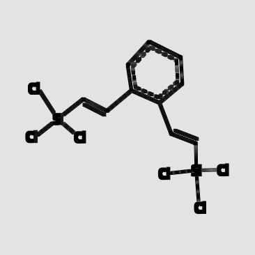 Cl[Si](Cl)(Cl)C=Cc1ccccc1C=C[Si](Cl)(Cl)Cl